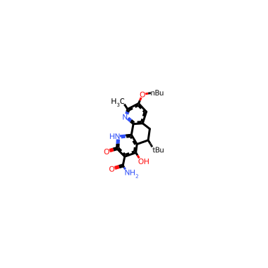 CCCCOc1cc2c(nc1C)-c1[nH]c(=O)c(C(N)=O)c(O)c1C(C(C)(C)C)C2